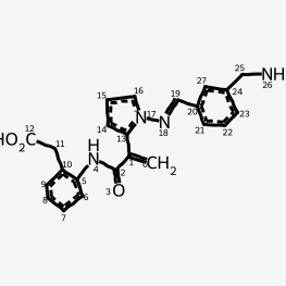 C=C(C(=O)Nc1ccccc1CC(=O)O)c1cccn1/N=C/c1cccc(CN)c1